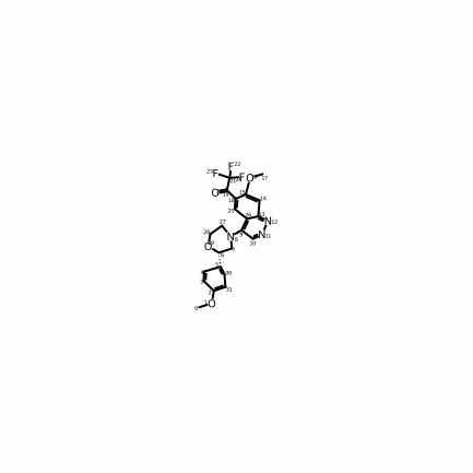 COc1ccc([C@H]2CN(c3cnnc4cc(OC)c(C(=O)C(F)(F)F)cc34)CCO2)cc1